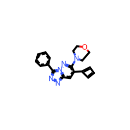 C1=CC(c2cc3nnc(-c4ccccc4)n3nc2N2CCOCC2)=C1